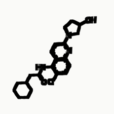 O=C(CC1CCCCC1)Nc1c(Cl)ccc2nc(N3CCC(O)C3)ccc12